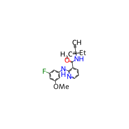 C#C[C@](C)(CC)NC(=O)c1cccnc1Nc1cc(F)cc(OC)c1